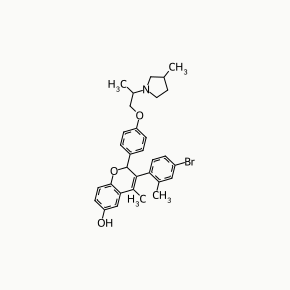 CC1=C(c2ccc(Br)cc2C)C(c2ccc(OCC(C)N3CCC(C)C3)cc2)Oc2ccc(O)cc21